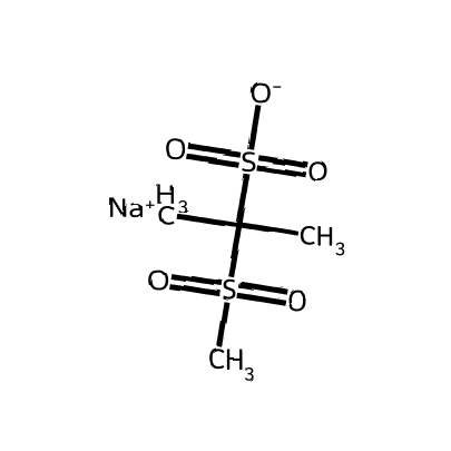 CC(C)(S(C)(=O)=O)S(=O)(=O)[O-].[Na+]